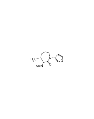 CNC1C(=O)N(c2ccoc2)CCCC1C